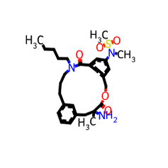 CCCCCN1CCCc2cccc(c2)CC(C)(N)C(=O)OCc2cc(cc(N(C)S(C)(=O)=O)c2)C1=O